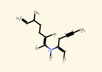 C=CC(C)CC/C(CCC)=C(\CC)N(CC)/C(=C\CC)CC#CC